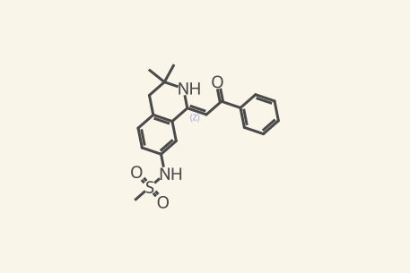 CC1(C)Cc2ccc(NS(C)(=O)=O)cc2/C(=C/C(=O)c2ccccc2)N1